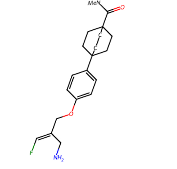 CNC(=O)C12CCC(c3ccc(OC/C(=C/F)CN)cc3)(CC1)CC2